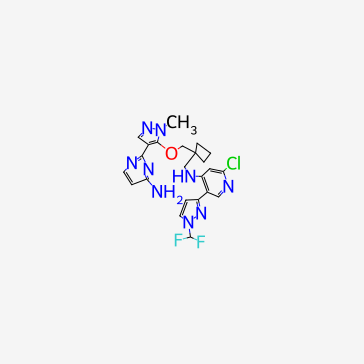 Cn1ncc(-c2nccc(N)n2)c1OCC1(CNc2cc(Cl)ncc2-c2ccn(C(F)F)n2)CCC1